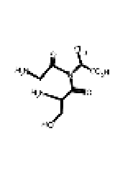 CC(C(=O)O)N(C(=O)CN)C(=O)C(N)CO